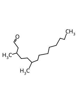 CCCCCCCCC(C)CCC(C)CC=O